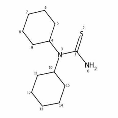 NC(=S)N(C1CCCCC1)C1CCCCC1